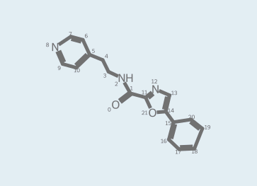 O=C(NCCc1ccncc1)c1ncc(-c2ccccc2)o1